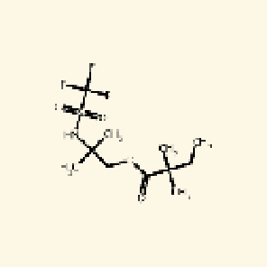 CCC(C)(C)C(=O)OCC(C)(C)NS(=O)(=O)C(F)(F)F